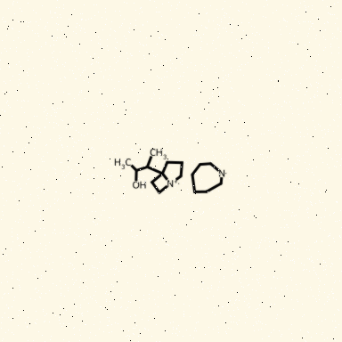 C1CCC[N]CC1.CC(O)C(C)C12CCC[N+]1CC2